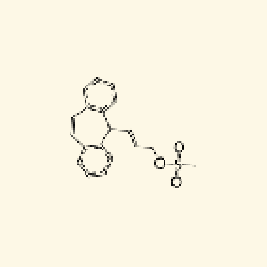 CS(=O)(=O)OCC=CC1c2ccccc2C=Cc2ccccc21